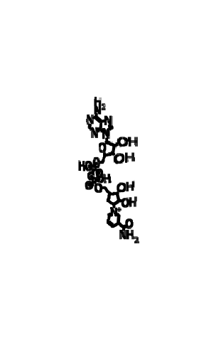 NC(=O)c1ccc[n+](C2CC(COP(=O)(O)OP(=O)(O)OCC3OC(n4cnc5c(N)ncnc54)C(O)C3O)C(O)C2O)c1